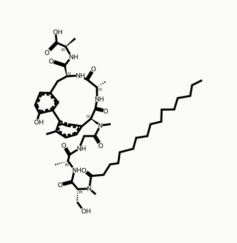 CCCCCCCCCCCCCCCC(=O)N(C)[C@H](CO)C(=O)N[C@H](C)C(=O)NCC(=O)N(C)[C@@H]1C(=O)N[C@@H](C)C(=O)N[C@H](C(=O)N[C@H](C)C(=O)O)Cc2ccc(O)c(c2)-c2cc1ccc2C